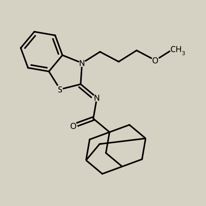 COCCCn1/c(=N/C(=O)C23CC4CC(CC(C4)C2)C3)sc2ccccc21